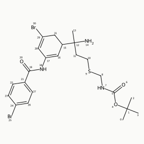 CC(C)(C)OC(=O)NCSCCC(C)(N)C1C=C(NC(=O)c2ccc(Br)cc2)C=C(Br)C1